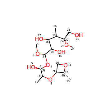 COC(O[C@H](O)C(C)OC1CO[C@@H]1C)C(O)C(O)C(C)[C@@H](CO)OC